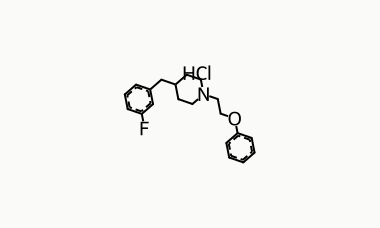 Cl.Fc1cccc(CC2CCN(CCOc3ccccc3)CC2)c1